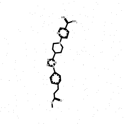 COC(=O)CCc1ccc(-n2nnc(C3CCN(c4ccc(C(=N)N)cn4)CC3)n2)cc1